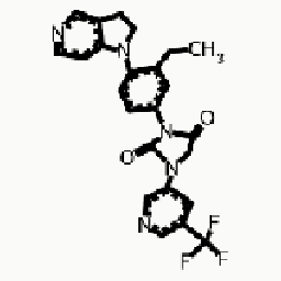 CCc1cc(N2C(=O)CN(c3cncc(C(F)(F)F)c3)C2=O)ccc1N1CCc2cnccc21